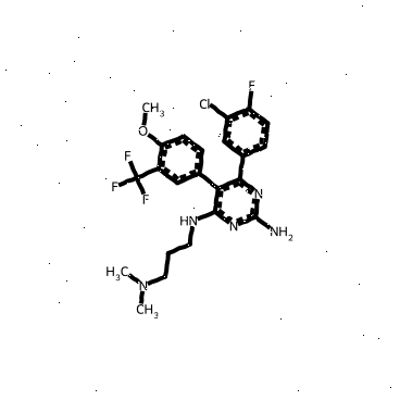 COc1ccc(-c2c(NCCCN(C)C)nc(N)nc2-c2ccc(F)c(Cl)c2)cc1C(F)(F)F